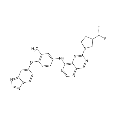 Cc1cc(Nc2ncnc3cnc(N4CCC(C(F)F)C4)nc23)ccc1Oc1ccn2ncnc2c1